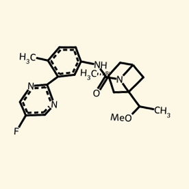 COC(C)C12CC(C[C@@H](C)C1)N2C(=O)Nc1ccc(C)c(-c2ncc(F)cn2)c1